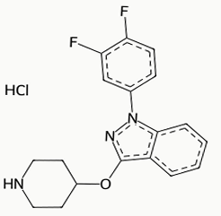 Cl.Fc1ccc(-n2nc(OC3CCNCC3)c3ccccc32)cc1F